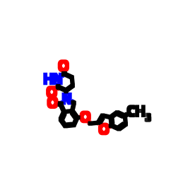 Cc1ccc2oc(COc3cccc4c3CN(C3CCC(=O)NC3=O)C4=O)cc2c1